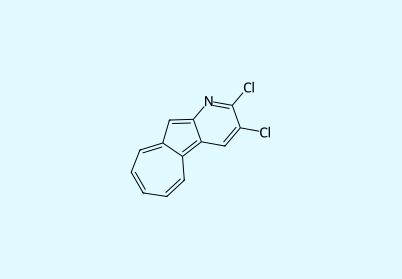 Clc1cc2c3cccccc-3cc2nc1Cl